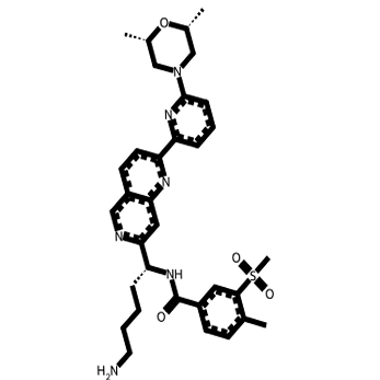 Cc1ccc(C(=O)N[C@H](CCCCN)c2cc3nc(-c4cccc(N5C[C@@H](C)O[C@@H](C)C5)n4)ccc3cn2)cc1S(C)(=O)=O